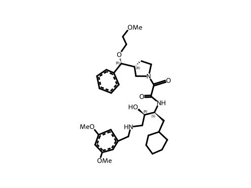 COCCO[C@@H](c1ccccc1)[C@@H]1CCN(C(=O)C(=O)N[C@@H](CC2CCCCC2)[C@H](O)CNCc2cc(OC)cc(OC)c2)C1